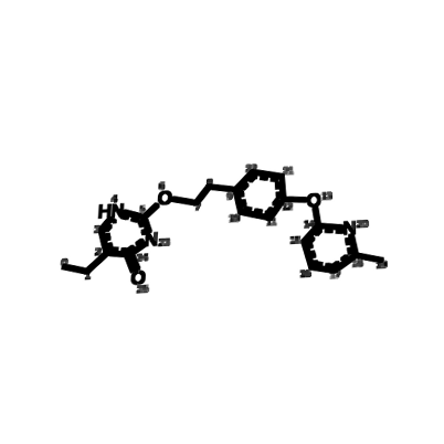 CCc1c[nH]c(OCCc2ccc(Oc3cccc(C)n3)cc2)nc1=O